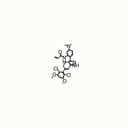 C=CC(=O)Nc1cc(N(C)C)ccc1-c1n[nH]c2c1CCC(c1c(Cl)c(OC)cc(OC)c1Cl)=C2